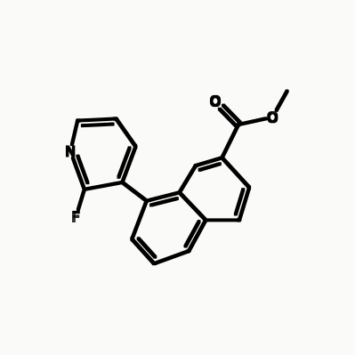 COC(=O)c1ccc2cccc(-c3cccnc3F)c2c1